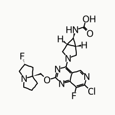 O=C(O)N[C@H]1[C@@H]2CN(c3nc(OC[C@@]45CCCN4C[C@H](F)C5)nc4c(F)c(Cl)ncc34)C[C@@H]21